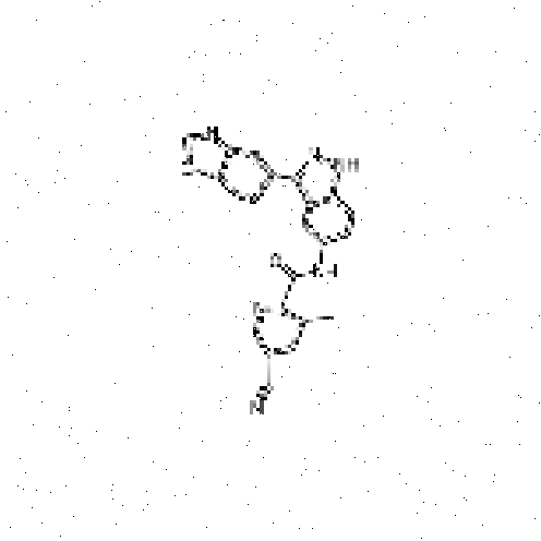 Cc1cc(C#N)cnc1C(=O)Nc1ccc2[nH]nc(-c3ccc4ocnc4c3)c2c1